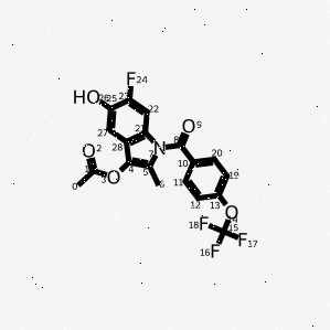 CC(=O)Oc1c(C)n(C(=O)c2ccc(OC(F)(F)F)cc2)c2cc(F)c(O)cc12